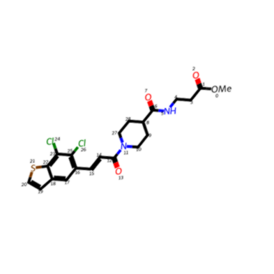 COC(=O)CCNC(=O)C1CCN(C(=O)/C=C/c2cc3ccsc3c(Cl)c2Cl)CC1